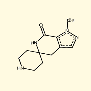 CC(C)(C)n1ncc2c1C(=O)NC1(CCNCC1)C2